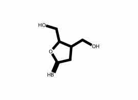 B=C1CC(CO)C(CO)O1